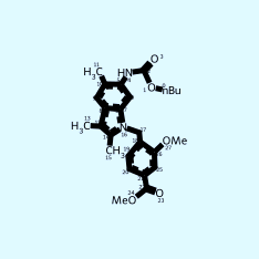 CCCCOC(=O)Nc1cc2c(cc1C)c(C)c(C)n2Cc1ccc(C(=O)OC)cc1OC